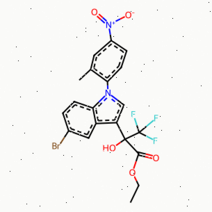 CCOC(=O)C(O)(c1cn(-c2ccc([N+](=O)[O-])cc2C)c2ccc(Br)cc12)C(F)(F)F